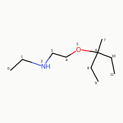 CCNCCOC(C)(CC)CC